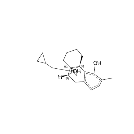 Cc1ccc2c(c1O)[C@@]13CCCC[C@@]1(O)[C@@H](C2)N(CC1CC1)CC3